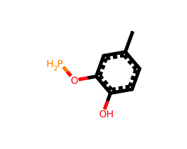 Cc1ccc(O)c(OP)c1